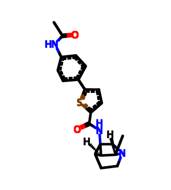 CC(=O)Nc1ccc(-c2ccc(C(=O)N[C@@H]3C4CCN(CC4)[C@H]3C)s2)cc1